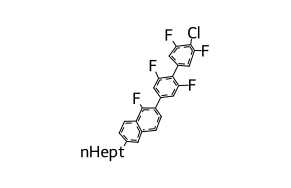 CCCCCCCc1ccc2c(F)c(-c3cc(F)c(-c4cc(F)c(Cl)c(F)c4)c(F)c3)ccc2c1